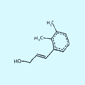 Cc1cccc(C=CCO)c1C